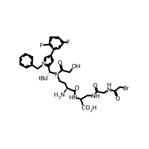 CC(C)(C)[C@H](c1cc(-c2cc(F)ccc2F)cn1Cc1ccccc1)N(CC[C@H](N)C(=O)NC(CNC(=O)CNC(=O)CBr)C(=O)O)C(=O)CO